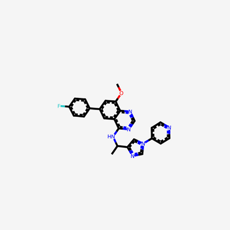 COc1cc(-c2ccc(F)cc2)cc2c(NC(C)c3cn(-c4ccncc4)cn3)ncnc12